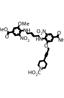 COC(=O)c1cc(OC)c(NC/C=C/CNc2c(OCC#CC3CCN(C(=O)O)CC3)cc(C(N)=O)cc2[N+](=O)[O-])c([N+](=O)[O-])c1